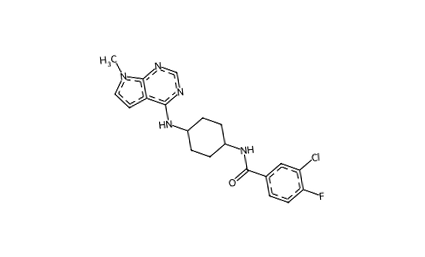 Cn1ccc2c(NC3CCC(NC(=O)c4ccc(F)c(Cl)c4)CC3)ncnc21